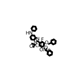 COc1cc(-c2nc3cc(Nc4ccccc4)ccc3n2C2(C)COC2)c(F)c(OCc2ccccc2)c1OCc1ccccc1